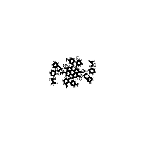 C=C(C)C(=O)OC1CCCC(NC(=O)C(Cc2ccccc2)N2C(=O)c3cc(Oc4cccc(F)c4)c4c5c(Oc6cccc(F)c6)cc6c7c(cc(Oc8cccc(F)c8)c(c8c(Oc9cccc(F)c9)cc(c3c48)C2=O)c75)C(=O)N(C(Cc2ccccc2)C(=O)NC2CCCC(OC(=O)C(=C)C)C2)C6=O)C1